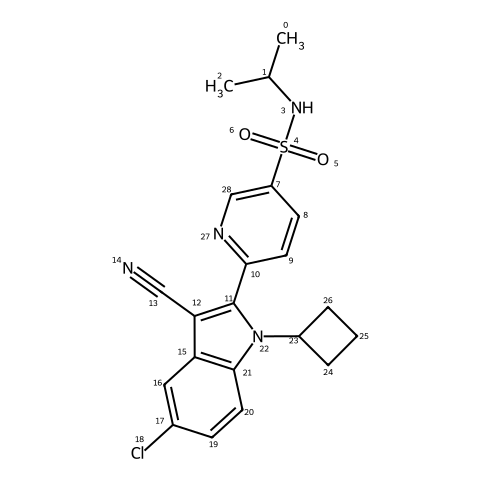 CC(C)NS(=O)(=O)c1ccc(-c2c(C#N)c3cc(Cl)ccc3n2C2CCC2)nc1